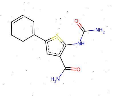 NC(=O)Nc1sc(C2=CC=CCC2)cc1C(N)=O